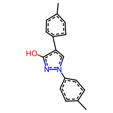 Cc1ccc(-c2cn(-c3ccc(C)cc3)nc2O)cc1